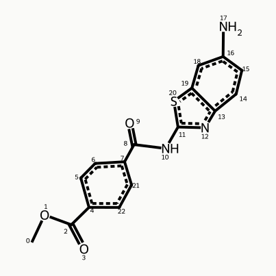 COC(=O)c1ccc(C(=O)Nc2nc3ccc(N)cc3s2)cc1